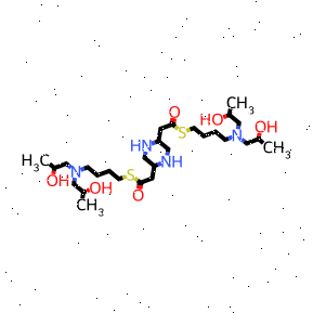 CC(O)CN(CCCCSC(=O)CC1CNC(CC(=O)SCCCCN(CC(C)O)CC(C)O)CN1)CC(C)O